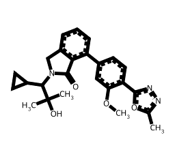 COc1cc(-c2cccc3c2C(=O)N(C(C2CC2)C(C)(C)O)C3)ccc1-c1nnc(C)o1